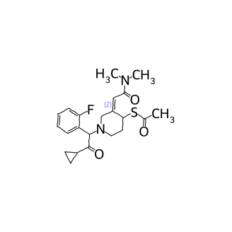 CC(=O)SC1CCN(C(C(=O)C2CC2)c2ccccc2F)C/C1=C/C(=O)N(C)C